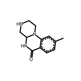 Cc1ccc2c(c1)N1CCNCC1NC2=O